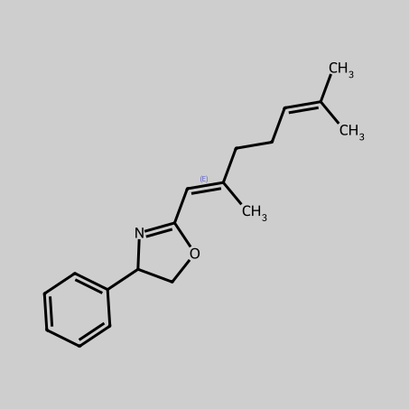 CC(C)=CCC/C(C)=C/C1=NC(c2ccccc2)CO1